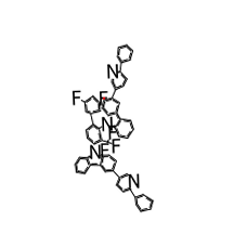 Fc1cc(F)cc(-c2ccc(-n3c4ccccc4c4cc(-c5ccc(-c6ccccc6)nc5)ccc43)c(C(F)(F)F)c2-n2c3ccccc3c3cc(-c4ccc(-c5ccccc5)nc4)ccc32)c1